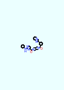 O=C(c1cccc(-c2cn3ccccc3n2)c1)N1CC2CN(C(=O)c3ccnc(Nc4ccccc4)n3)CC2C1